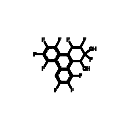 OC1c2c(c3c(F)c(F)c(F)c(F)c3c3cc(F)c(F)c(F)c23)C(F)=C(F)C1(O)F